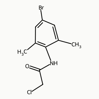 Cc1cc(Br)cc(C)c1NC(=O)CCl